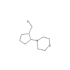 ClCC1CCCC1N1CCOCC1